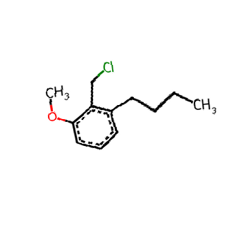 CCCCc1cccc(OC)c1CCl